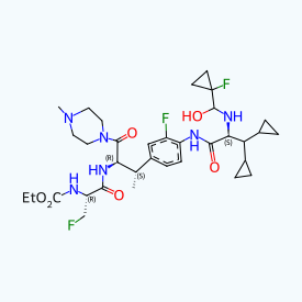 CCOC(=O)N[C@@H](CF)C(=O)N[C@@H](C(=O)N1CCN(C)CC1)[C@@H](C)c1ccc(NC(=O)[C@@H](NC(O)C2(F)CC2)C(C2CC2)C2CC2)c(F)c1